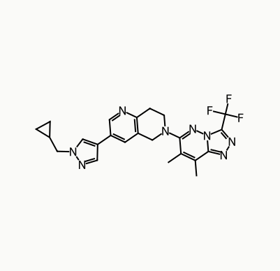 Cc1c(N2CCc3ncc(-c4cnn(CC5CC5)c4)cc3C2)nn2c(C(F)(F)F)nnc2c1C